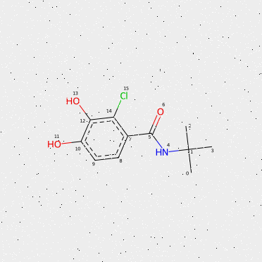 CC(C)(C)NC(=O)c1ccc(O)c(O)c1Cl